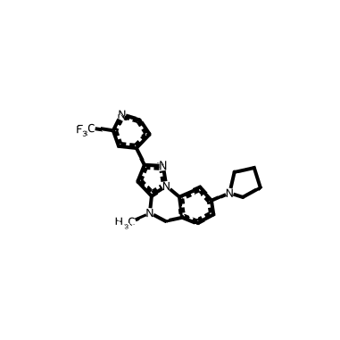 CN1Cc2ccc(N3CCCC3)cc2-n2nc(-c3ccnc(C(F)(F)F)c3)cc21